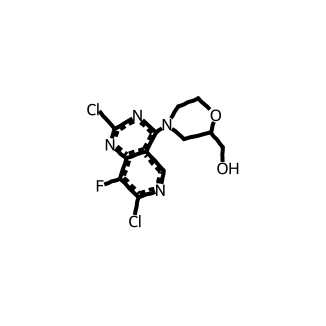 OCC1CN(c2nc(Cl)nc3c(F)c(Cl)ncc23)CCO1